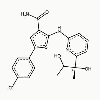 CC(O)[C@@](C)(O)c1cccc(Nc2sc(-c3ccc(Cl)cc3)cc2C(N)=O)n1